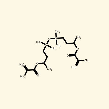 C=C(C)C(=O)OC(C)CC[Si](C)(C)O[Si](C)(C)CCC(C)OC(=O)C(=C)C